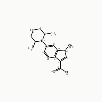 CC1CNCC(C)N1c1ccc2c(C(=O)O)cn(C)c2c1